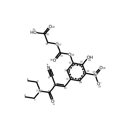 CCN(CC)C(=O)/C(C#N)=C/c1cc(OC(=O)OCC(=O)O)c(O)c([N+](=O)[O-])c1